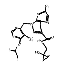 Cc1cnc2c(C(=O)NCC3(O)CC3)cn(Cc3ncnc(OC(F)F)c3C)c2n1